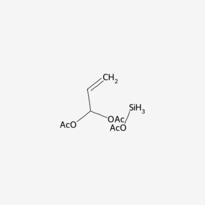 C=CC(OC(C)=O)OC(C)=O.CC(=O)O[SiH3]